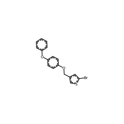 Brc1cc(COc2ccc(Oc3ccccc3)cc2)cs1